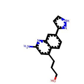 Nc1cc(CCCO)c2ccc(-c3cc[nH]n3)cc2n1